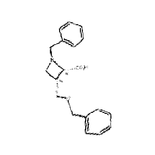 O=C(O)[C@@H]1[C@H](COCc2ccccc2)CN1Cc1ccccc1